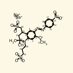 COc1cc2c(cc1/N=N/c1ccc([N+](=O)[O-])cc1)C(CS(=O)(=O)[O-])CC(C)(C)N2CCCS(=O)(=O)[O-].[Na+].[Na+]